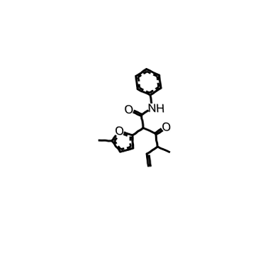 C=CC(C)C(=O)C(C(=O)Nc1ccccc1)c1ccc(C)o1